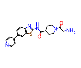 NCC(=O)N1CCC(C(=O)Nc2nc3ccc(-c4ccncc4)cc3s2)CC1